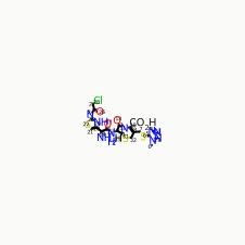 Cn1nnnc1SCC1=C(C(=O)O)N2C(=O)C(NC(=O)C(N)c3csc(=NC(=O)CCl)[nH]3)[C@@H]2SC1